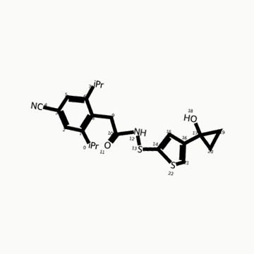 CC(C)c1cc(C#N)cc(C(C)C)c1CC(=O)NSc1cc(C2(O)CC2)cs1